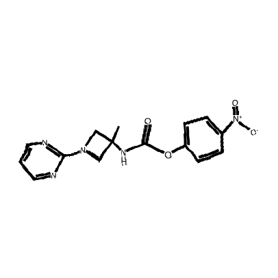 CC1(NC(=O)Oc2ccc([N+](=O)[O-])cc2)CN(c2ncccn2)C1